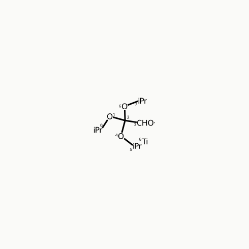 CC(C)OC([C]=O)(OC(C)C)OC(C)C.[Ti]